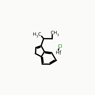 CCC(C)C1=C[CH]c2ccccc21.[Cl][Hf]